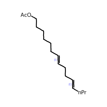 CCC/C=C/CC/C=C/CCCCCCOC(C)=O